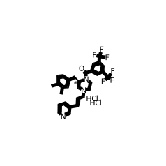 Cc1ccc(C[C@@H]2CN(CC=Cc3cccnc3)CCN2C(=O)c2cc(C(F)(F)F)cc(C(F)(F)F)c2)cc1C.Cl.Cl